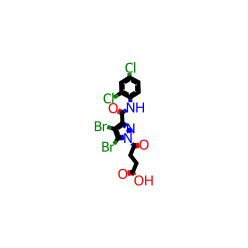 O=C(O)CCC(=O)n1nc(C(=O)Nc2ccc(Cl)cc2Cl)c(Br)c1Br